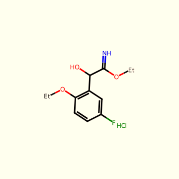 CCOC(=N)C(O)c1cc(F)ccc1OCC.Cl